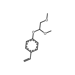 C=Cc1ccc(OC(COC)OC)cc1